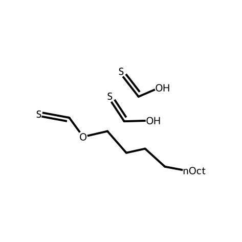 CCCCCCCCCCCCOC=S.OC=S.OC=S